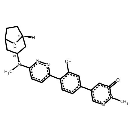 CN(c1ccc(-c2ccc(-c3cnn(C)c(=O)c3)cc2O)nn1)[C@H]1CC2CC[C@H](C1)N2